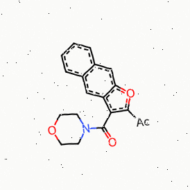 CC(=O)c1oc2cc3ccccc3cc2c1C(=O)N1CCOCC1